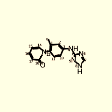 Cc1cc(Nc2nc[nH]n2)ccc1-n1ccccc1=O